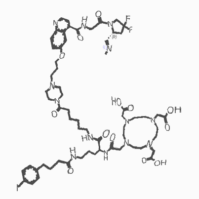 C/N=C/[C@H]1CC(F)(F)CN1C(=O)CNC(=O)c1ccnc2ccc(OCCCN3CCN(C(=O)CCCCCNC(=O)C(CCCNC(=O)CCCc4ccc(I)cc4)NC(=O)CN4CCN(CC(=O)O)CCN(CC(=O)O)CCN(CC(=O)O)CC4)CC3)cc12